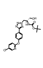 CC(C)(C)OC(=O)N[C@@H](CO)Cn1nnc(-c2ccc(Oc3ccc(Cl)cn3)cc2)n1